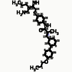 CCCOc1ccc(-c2cccc(/C=C(\C)C(=O)Nc3ccc(SCC(=N)N(CN)CCC)cc3)c2)cc1